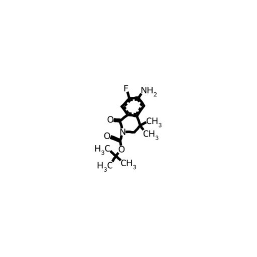 CC(C)(C)OC(=O)N1CC(C)(C)c2cc(N)c(F)cc2C1=O